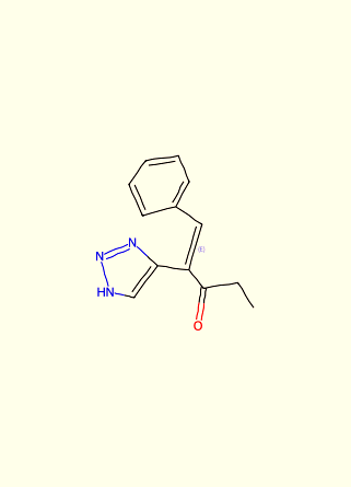 CCC(=O)/C(=C/c1ccccc1)c1c[nH]nn1